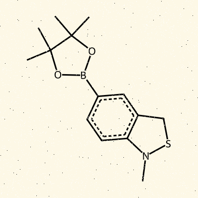 CN1SCc2cc(B3OC(C)(C)C(C)(C)O3)ccc21